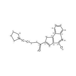 O=C(CCCCN1CCCC1)C1=Cc2c(Cl)nc3ccccc3c2C1